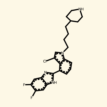 Fc1cc2nc(-c3cccc4c3c(Cl)cn4CCCCC3CCNCC3)[nH]c2cc1F